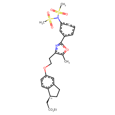 CCOC(=O)C[C@@H]1CCc2cc(OCCc3nc(-c4cccc(N(S(C)(=O)=O)S(C)(=O)=O)c4)oc3C)ccc21